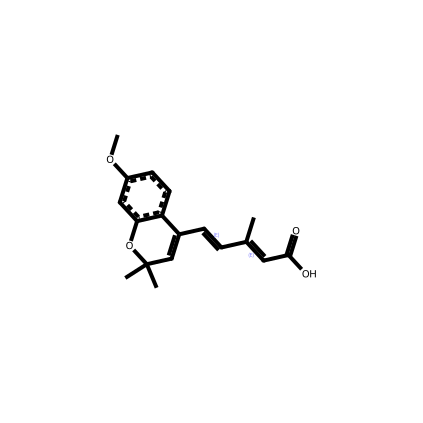 COc1ccc2c(c1)OC(C)(C)C=C2/C=C/C(C)=C/C(=O)O